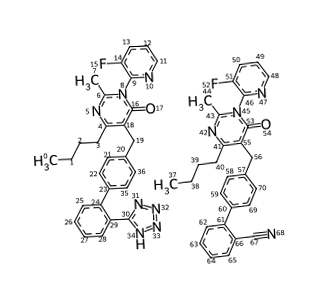 CCCCc1nc(C)n(-c2ncccc2F)c(=O)c1Cc1ccc(-c2ccccc2-c2nnn[nH]2)cc1.CCCCc1nc(C)n(-c2ncccc2F)c(=O)c1Cc1ccc(-c2ccccc2C#N)cc1